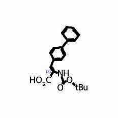 CC(C)(C)OC(=O)N/C(=C\c1ccc(-c2ccccc2)cc1)C(=O)O